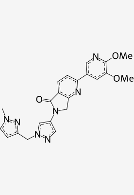 COc1cc(-c2ccc3c(n2)CN(c2cnn(Cc4ccn(C)n4)c2)C3=O)cnc1OC